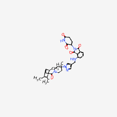 CC1C2=CC(C)C2(C(=O)N2CCC(C)(n3cc(CNc4cccc5c4C(=O)N(C4CCC(=O)NC4=O)C5=O)cn3)CC2)C1C